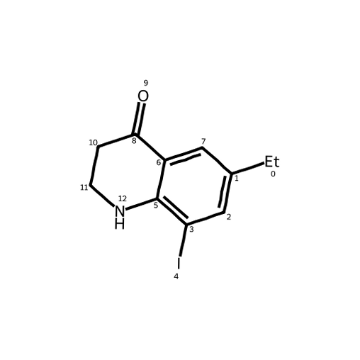 CCc1cc(I)c2c(c1)C(=O)CCN2